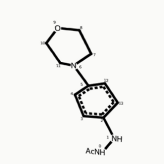 CC(=O)NNc1ccc(N2CCOCC2)cc1